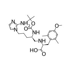 COc1cc(C)c(C[C@H](NC[C@@H](CCCn2ccnc2N)NC(=O)OC(C)(C)C)C(=O)O)c(C)c1